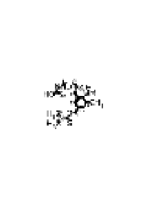 Cc1cc(COC(=S)N(C)C)cc(CN(C)C)c1O.NC(O)=S